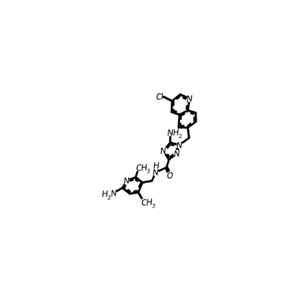 Cc1cc(N)nc(C)c1CNC(=O)c1nc(N)n(Cc2ccc3ncc(Cl)cc3c2)n1